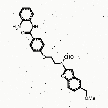 COCc1ccc2oc(N(C=O)CCOc3ccc(C(=O)Nc4ccccc4N)cc3)cc2c1